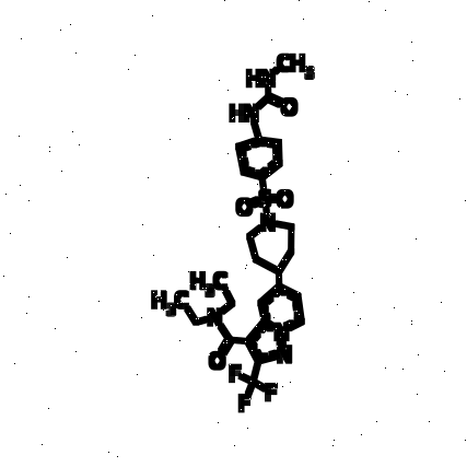 CCN(CC)C(=O)c1c(C(F)(F)F)nn2ccc(C3CCN(S(=O)(=O)c4ccc(NC(=O)NC)cc4)CC3)cc12